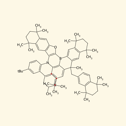 CC1C=CC=C(c2cc(C(C)(C)C)ccc2N2c3cc([Si](C)(C)C)cc4c3B(c3cc5c(cc3C4(C)Cc3ccc4c(c3)C(C)(C)CCC4(C)C)C(C)(C)CCC5(C)C)c3oc4cc5c(cc4c32)C(C)(C)CCC5(C)C)C1